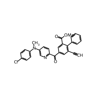 C#Cc1cc(C(=O)c2ccc(N(C)c3ccc(Cl)cc3)cn2)cc(C(=O)OC)c1-c1ccccc1